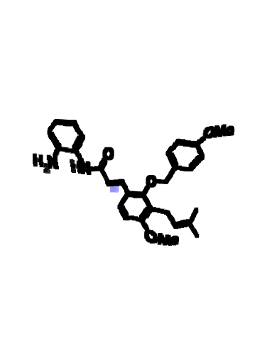 COc1ccc(COc2c(/C=C/C(=O)Nc3ccccc3N)ccc(OC)c2CC=C(C)C)cc1